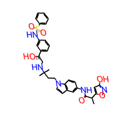 CC(C(=O)Nc1ccc2c(ccn2CCC(C)(C)NC[C@@H](O)c2cccc(NS(=O)(=O)c3ccccc3)c2)c1)c1cc(O)no1